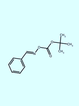 CC(C)(C)OC(=O)ON=Cc1ccccc1